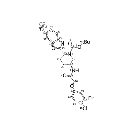 CC(C)(C)OC(=O)N1C[C@@H](NC(=O)COc2ccc(Cl)c(F)c2)CC[C@@H]1c1nc2ccc(OC(F)(F)F)cc2o1